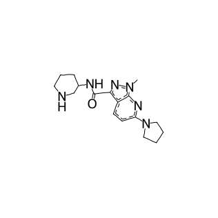 Cn1nc(C(=O)NC2CCCNC2)c2ccc(N3CCCC3)nc21